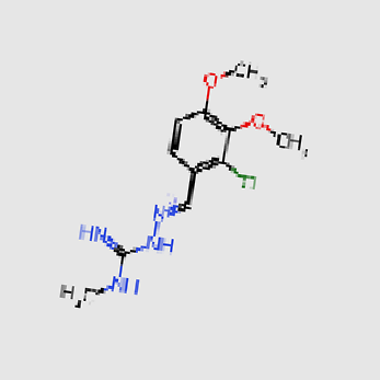 CNC(=N)N/N=C/c1ccc(OC)c(OC)c1Cl